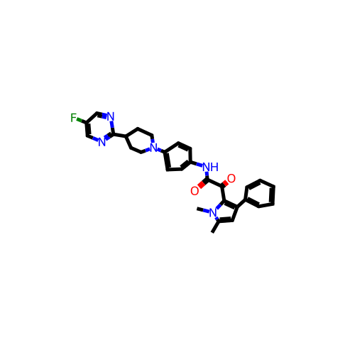 Cc1cc(-c2ccccc2)c(C(=O)C(=O)Nc2ccc(N3CCC(c4ncc(F)cn4)CC3)cc2)n1C